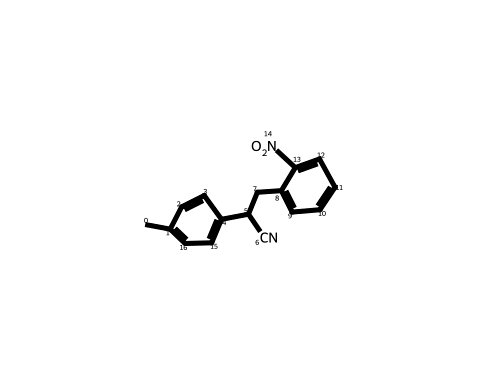 Cc1ccc(C(C#N)Cc2ccccc2[N+](=O)[O-])cc1